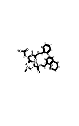 COC[C@H](NC(=O)[C@H](CC(=O)O)NC(=O)CCc1ccccc1)C(=O)NCc1cccc2c1NCCC2